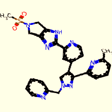 Cc1cccc(-c2nn(Cc3ccccn3)cc2-c2ccnc(-c3nc4c([nH]3)CN(S(C)(=O)=O)C4)c2)n1